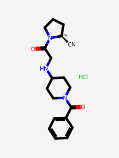 Cl.N#C[C@@H]1CCCN1C(=O)CNC1CCN(C(=O)c2ccccc2)CC1